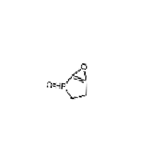 O=[PH]1CCC2=C1O2